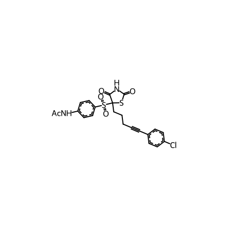 CC(=O)Nc1ccc(S(=O)(=O)C2(CCCC#Cc3ccc(Cl)cc3)SC(=O)NC2=O)cc1